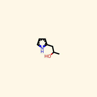 CC(O)Cc1ccc[nH]1